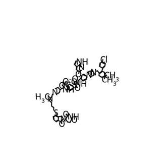 CN(CCCCCSc1cccc2c1CN(C1CCC(=O)NC1=O)C2=O)CCN1CCC(CNc2ccc(S(=O)(=O)NC(=O)c3ccc(N4CCN(CC5=C(c6ccc(Cl)cc6)CC(C)(C)CC5)CC4)cc3Oc3cnc4[nH]ccc4c3)cc2[N+](=O)[O-])CC1